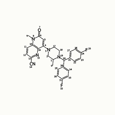 CC1CN(c2cc(=O)n(C)c3ccc(C#N)nc23)CCN1C(c1ccc(F)cc1)c1ccc(F)cc1